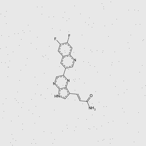 NC(=O)/C=C/c1c[nH]c2ncc(-c3cnc4cc(F)c(F)cc4c3)nc12